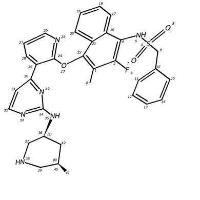 Cc1c(F)c(NS(=O)(=O)Cc2ccccc2)c2ccccc2c1Oc1ncccc1-c1ccnc(N[C@@H]2CNC[C@H](C)C2)n1